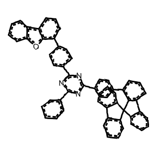 c1ccc(-c2nc(-c3ccc(-c4cccc5c4C4(c6ccccc6-c6ccccc64)c4ccccc4-5)cc3)nc(-c3ccc(-c4cccc5c4oc4ccccc45)cc3)n2)cc1